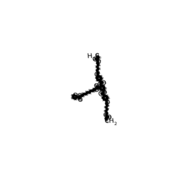 C=CC(=O)OCCCCCCOc1ccc(C(=O)Oc2ccc(OC(=O)c3ccc(OCCCCCCOC(=O)C=C)cc3)c(C(=O)OCCCCCCCCOC(=O)C3CCCO3)c2)cc1